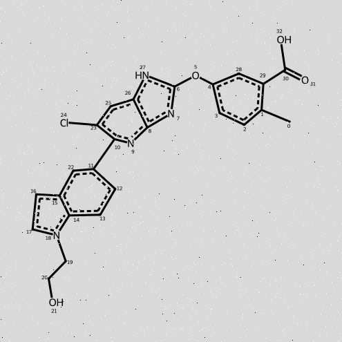 Cc1ccc(Oc2nc3nc(-c4ccc5c(ccn5CCO)c4)c(Cl)cc3[nH]2)cc1C(=O)O